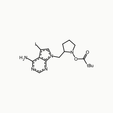 CC(C)(C)C(=O)ON1CCCC1Cn1cc(I)c2c(N)ncnc21